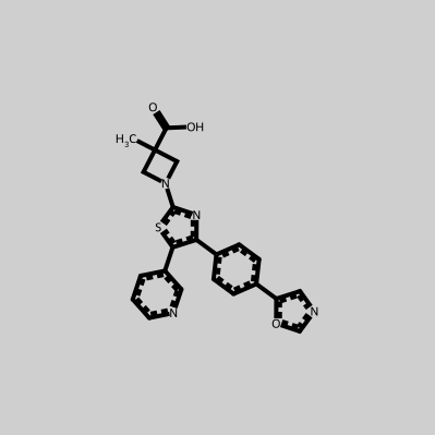 CC1(C(=O)O)CN(c2nc(-c3ccc(-c4cnco4)cc3)c(-c3cccnc3)s2)C1